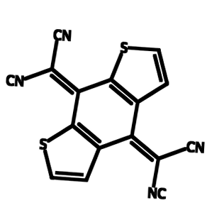 [C-]#[N+]C(C#N)=c1c2ccsc2c(=C(C#N)[N+]#[C-])c2sccc12